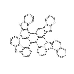 c1ccc2c(c1)ccc1c2c2cccc3c2n1-c1c2c(cc4c1oc1ccccc14)-c1c(ccc4sc5ccccc5c14)N(c1cccc4sc5ccccc5c14)B23